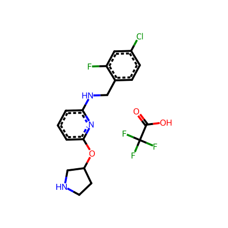 Fc1cc(Cl)ccc1CNc1cccc(OC2CCNC2)n1.O=C(O)C(F)(F)F